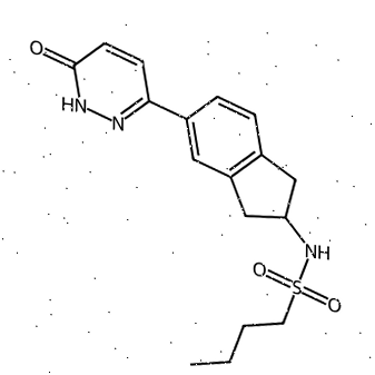 CCCCS(=O)(=O)NC1Cc2ccc(-c3ccc(=O)[nH]n3)cc2C1